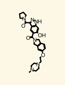 CN1CCN(CCOc2ccc3c(c2)CN(C(=O)c2cc4c(C(=O)N5CCCC5)n[nH]c4cc2O)C3)CC1